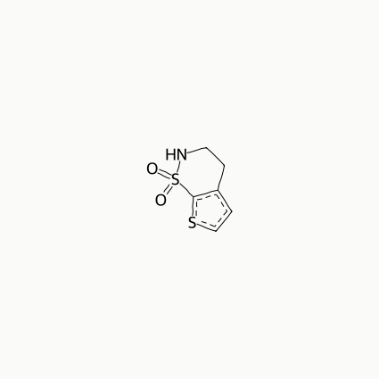 O=S1(=O)NCCc2ccsc21